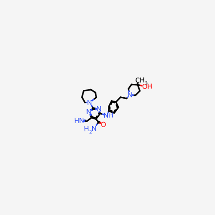 CC1(O)CCN(CCc2ccc(Nc3nc(N4CCCCCC4)nc(C=N)c3C(N)=O)cc2)CC1